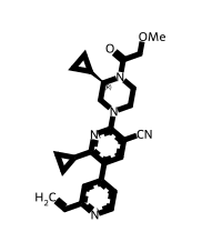 C=Cc1cc(-c2cc(C#N)c(N3CCN(C(=O)COC)[C@H](C4CC4)C3)nc2C2CC2)ccn1